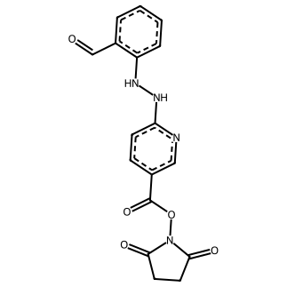 O=Cc1ccccc1NNc1ccc(C(=O)ON2C(=O)CCC2=O)cn1